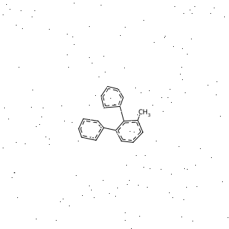 Cc1cccc(-c2ccccc2)c1-c1ccccc1